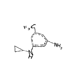 Nc1cc(NC2CC2)cc(C(F)(F)F)c1